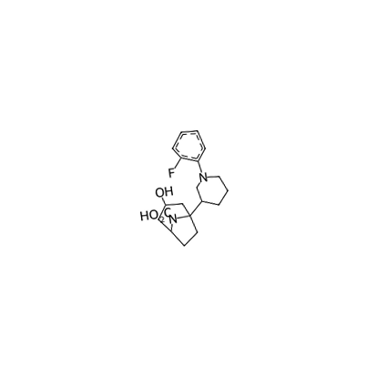 O=C(O)N1C2CCC1(C1CCCN(c3ccccc3F)C1)CC(O)C2